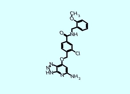 COc1ccccc1CNC(=O)c1ccc(COc2cc(N)nc3[nH]nnc23)c(Cl)c1